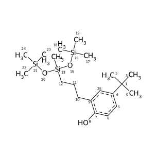 CC(C)(C)c1ccc(O)c(CCC[Si](C)(O[Si](C)(C)C)O[Si](C)(C)C)c1